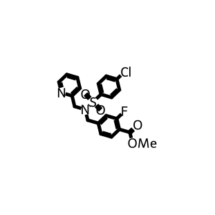 COC(=O)c1ccc(CN(Cc2ccccn2)S(=O)(=O)c2ccc(Cl)cc2)cc1F